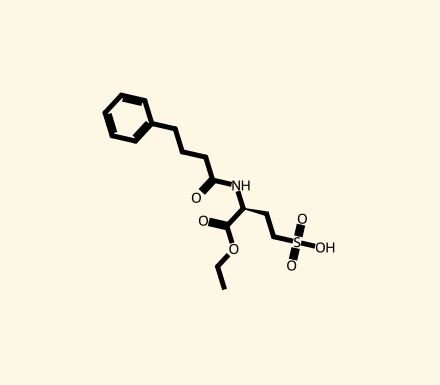 CCOC(=O)[C@H](CCS(=O)(=O)O)NC(=O)CCCc1ccccc1